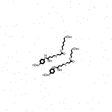 CCCCCCCCCCCCCCCCOC(=O)CCSCCCC(=N)Nc1ccc(CCCCCCCCCC)cc1.CCCCCCCCCCCCCCOC(=O)CCSCCCC(=N)Nc1ccc(CCCCCCCCCC)cc1